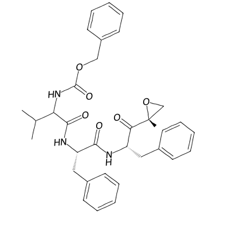 CC(C)C(NC(=O)OCc1ccccc1)C(=O)N[C@@H](Cc1ccccc1)C(=O)N[C@@H](Cc1ccccc1)C(=O)[C@@]1(C)CO1